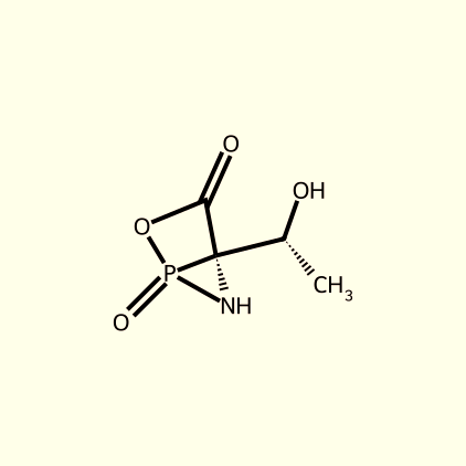 C[C@@H](O)[C@@]12NP1(=O)OC2=O